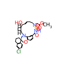 COC(=O)CN1CC/C=C/[C@H](O)[C@@H]2CC[C@H]2CN2C[C@@]3(CCCc4cc(Cl)ccc43)COc3ccc(cc32)C(=O)NS1(=O)=O